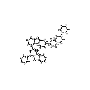 c1ccc(C2=C3Sc4ccccc4C3NC(c3cccc4oc5cc(-c6ccc7ccc(-c8ccccc8)cc7c6)ccc5c34)=N2)cc1